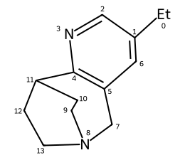 CCc1cnc2c(c1)CN1CCC2CC1